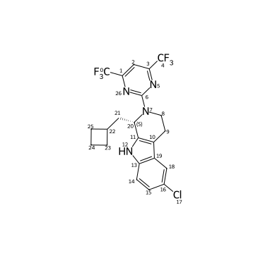 FC(F)(F)c1cc(C(F)(F)F)nc(N2CCc3c([nH]c4ccc(Cl)cc34)[C@@H]2CC2CCC2)n1